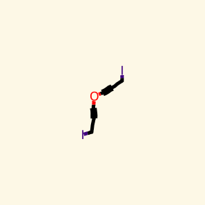 ICC#COC#CCI